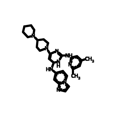 Cc1cc(C)nc(NC2=NC(N3CCC(N4CCCCC4)CC3)=CC(Nc3ccn4ccnc4c3)N2)c1